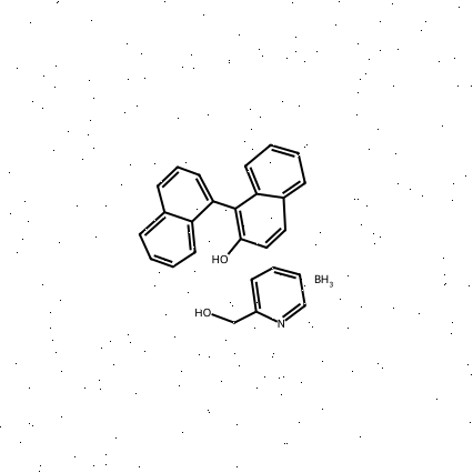 B.OCc1ccccn1.Oc1ccc2ccccc2c1-c1cccc2ccccc12